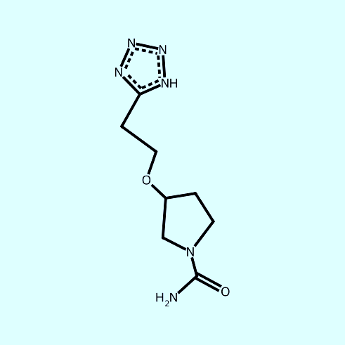 NC(=O)N1CCC(OCCc2nnn[nH]2)C1